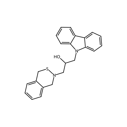 OC(CN1Cc2ccccc2CS1)Cn1c2ccccc2c2ccccc21